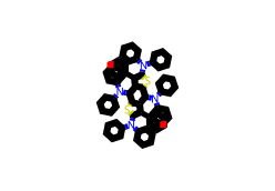 c1ccc(-c2c(N(c3ccccc3)c3ccccc3)sc3c(N(c4ccccc4)c4ccccc4)c4c(-c5ccccc5)c(N(c5ccccc5)c5ccccc5)sc4c(N(c4ccccc4)c4ccccc4)c23)cc1